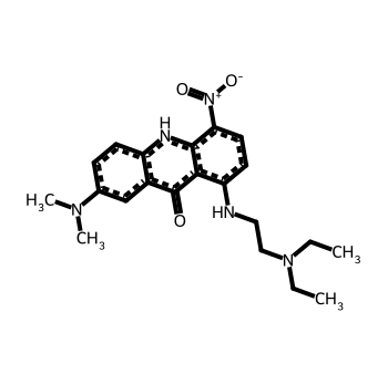 CCN(CC)CCNc1ccc([N+](=O)[O-])c2[nH]c3ccc(N(C)C)cc3c(=O)c12